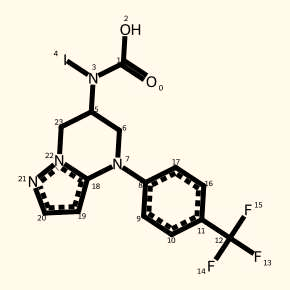 O=C(O)N(I)C1CN(c2ccc(C(F)(F)F)cc2)c2ccnn2C1